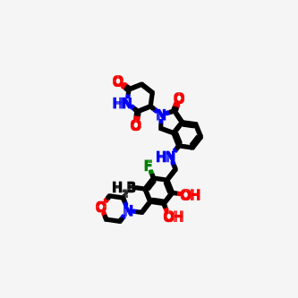 Bc1c(F)c(CNc2cccc3c2CN(C2CCC(=O)NC2=O)C3=O)c(O)c(O)c1CN1CCOCC1